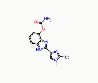 CCc1nc(-c2nc3c(OC(N)=O)cccc3[nH]2)c[nH]1